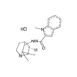 Cl.Cn1c(C(=O)N[C@@H]2C3CCN(CC3)C2(C)C)cc2ccccc21